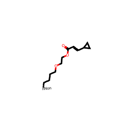 CCCCCCCCCCCCCOCCOC(=O)C=CC1CC1